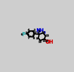 NC1(c2ccc(F)cc2)CCC(O)CC1